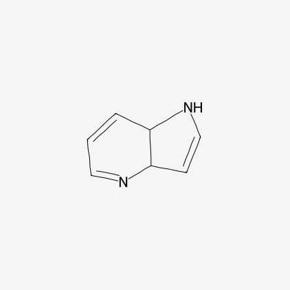 C1=CC2NC=CC2N=C1